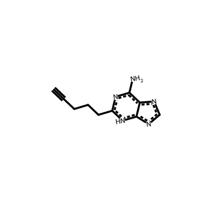 C#CCCCc1nc(N)c2ncnc-2[nH]1